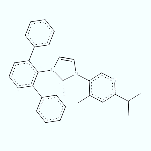 Cc1cc(C(C)C)ncc1N1C=CN(c2c(-c3ccccc3)cccc2-c2ccccc2)[C@H]1C